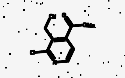 COC(=O)c1ccnc(Cl)c1CC#N